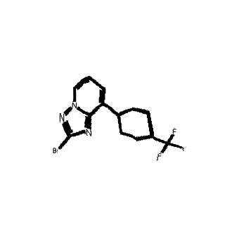 FC(F)(F)C1CCC(c2cccn3nc(Br)nc23)CC1